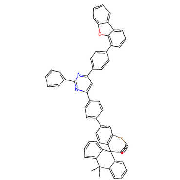 CC1(C)c2ccccc2C2(c3ccccc3Sc3cc(-c4ccc(-c5cc(-c6ccc(-c7cccc8c7oc7ccccc78)cc6)nc(-c6ccccc6)n5)cc4)ccc32)c2ccccc21